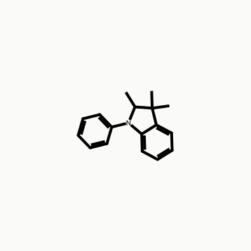 CC1N(c2ccccc2)c2ccccc2C1(C)C